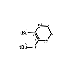 CC(C)(C)OC1=C(C(C)(C)C)SCCS1